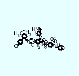 CC1CN(CC2=C(c3ccc(Cl)cc3)CC(C)(C)CC2)CCN1c1ccc(C(=O)NS(=O)(=O)c2ccc(NCC3CCOCC3)c([N+](=O)[O-])c2)c(Oc2cnc3[nH]ccc3c2)c1